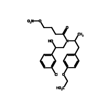 CC(Cc1ccc(OCC(=O)O)cc1)N(CC(O)c1cccc(Cl)c1)C(=O)CCCO[N+](=O)[O-]